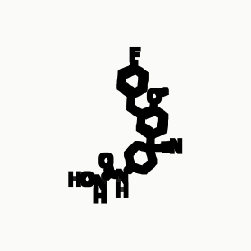 COc1ccc(C2(C#N)CCC(NC(=O)NO)CC2)cc1Cc1ccc(F)cc1